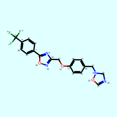 FC(F)(F)c1ccc(-c2nc(COc3ccc(CN4CN=CO4)cc3)no2)cc1